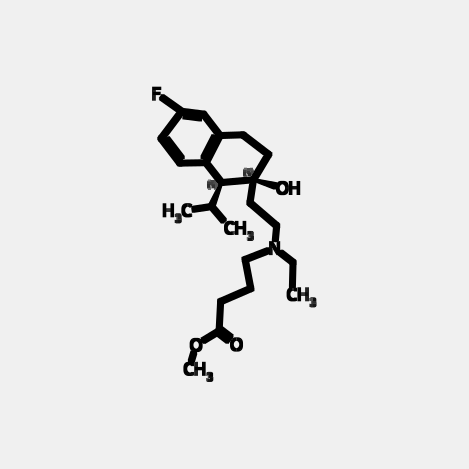 CCN(CCCC(=O)OC)CC[C@@]1(O)CCc2cc(F)ccc2[C@@H]1C(C)C